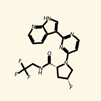 O=C(NCC(F)(F)F)[C@H]1C[C@@H](F)CN1c1ccnc(-c2c[nH]c3ncccc23)n1